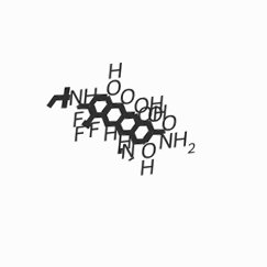 CCC(C)(C)NCc1cc(O)c2c(c1C(F)(F)F)C[C@H]1C[C@H]3[C@H](N(C)C)C(O)=C(C(N)=O)C(=O)[C@@]3(O)C(O)=C1C2=O